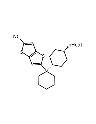 CCCCCCC[C@H]1CC[C@H](C2(c3cc4sc(C#N)cc4s3)CCCCC2)CC1